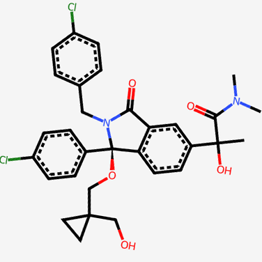 CN(C)C(=O)C(C)(O)c1ccc2c(c1)C(=O)N(Cc1ccc(Cl)cc1)[C@@]2(OCC1(CO)CC1)c1ccc(Cl)cc1